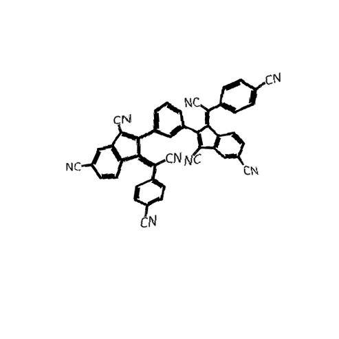 N#CC1=C(c2cccc(C3=C(C#N)c4cc(C#N)ccc4/C3=C(/C#N)c3ccc(C#N)cc3)c2)/C(=C(\C#N)c2ccc(C#N)cc2)c2ccc(C#N)cc21